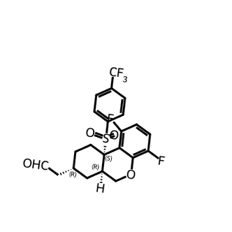 O=CC[C@@H]1CC[C@@]2(S(=O)(=O)c3ccc(C(F)(F)F)cc3)c3c(F)ccc(F)c3OC[C@H]2C1